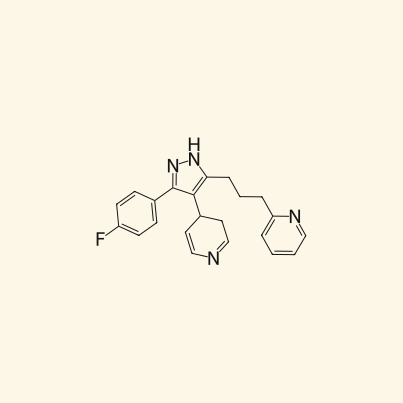 Fc1ccc(-c2n[nH]c(CCCc3ccccn3)c2C2C=CN=CC2)cc1